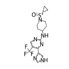 [O-][S+](C1CC1)N1CCC(Nc2ncc(C(F)(F)F)c(-c3c[nH]cn3)n2)CC1